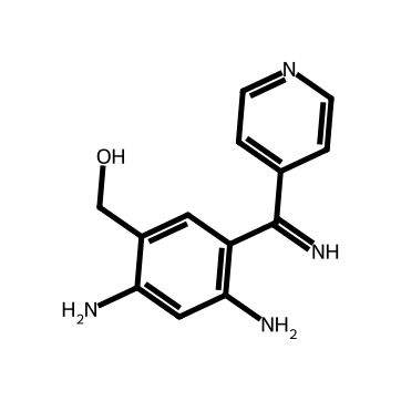 N=C(c1ccncc1)c1cc(CO)c(N)cc1N